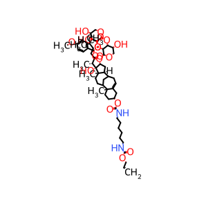 C=CCOC(=O)NCCCCCCNC(=O)O[C@H]1CC[C@@]2(C)C(=CCC3CC2CC[C@@]2(C)[C@H]3C[C@H](OC3OCC(O)C(OC4OCC(O)C(O)C4OC(=O)c4ccc(OC)cc4)C3OC(C)=O)[C@]2(O)[C@H](C)C(=O)CCC(C)C)C1